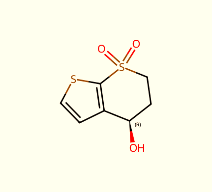 O=S1(=O)CC[C@@H](O)c2ccsc21